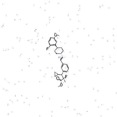 COC(=O)C(C)(F)C(c1cccc(/C=C/[C@H]2CC[C@H](c3cc(OC)ccc3F)CC2)c1)C1CC1